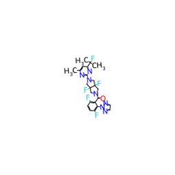 Cc1cc(C(C)(C)F)nc(N2C[C@]3(F)CN(C(=O)c4c(F)ccc(F)c4-n4nccn4)C[C@]3(F)C2)n1